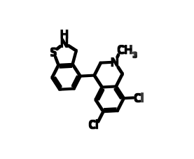 CN1Cc2c(Cl)cc(Cl)cc2C(c2cccc3c2CNS3)C1